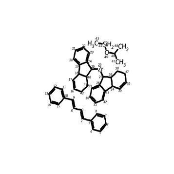 C(C=Cc1ccccc1)=Cc1ccccc1.C1=CC2c3ccccc3[CH]([Zr][CH]3c4ccccc4C4C=CCCC43)C2CC1.C[SiH2]OC(C)C